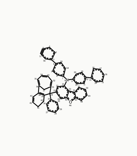 c1ccc(-c2ccc(N(c3ccc(-c4ccccc4)cc3)c3cc(C4(c5ccccc5)C5=CC=CC=C(C5)C5=C4CCC=C5)cc4oc5ccccc5c34)cc2)cc#1